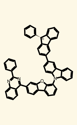 c1ccc(-c2nc(-c3ccc4c(c3)oc3c(-n5c6ccccc6c6cc(-c7ccc8c(c7)-c7ccccc7[C@H]8c7ccccc7)ccc65)cccc34)c3ccccc3n2)cc1